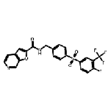 O=C(NCc1ccc(S(=O)(=O)c2ccc(F)c(C(F)(F)F)c2)cc1)c1cc2ccncc2o1